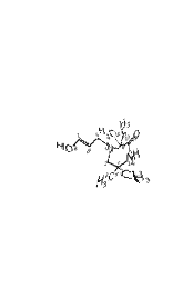 CC1(C)CN(CC=CO)C(C)(C)C(=O)N1